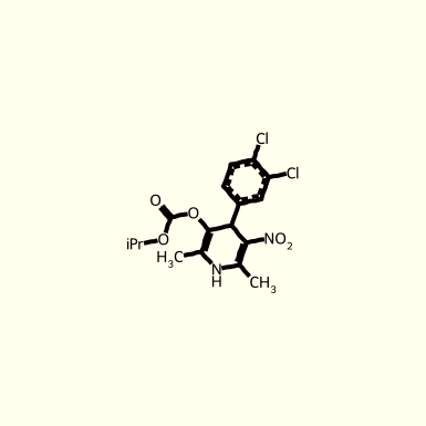 CC1=C(OC(=O)OC(C)C)C(c2ccc(Cl)c(Cl)c2)C([N+](=O)[O-])=C(C)N1